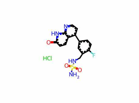 Cl.NS(=O)(=O)NCc1cc(-c2ccnc3[nH]c(=O)ccc23)ccc1F